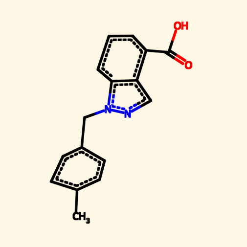 Cc1ccc(Cn2ncc3c(C(=O)O)cccc32)cc1